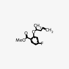 C=CCC(C)Oc1cc(F)ccc1C(=O)OC